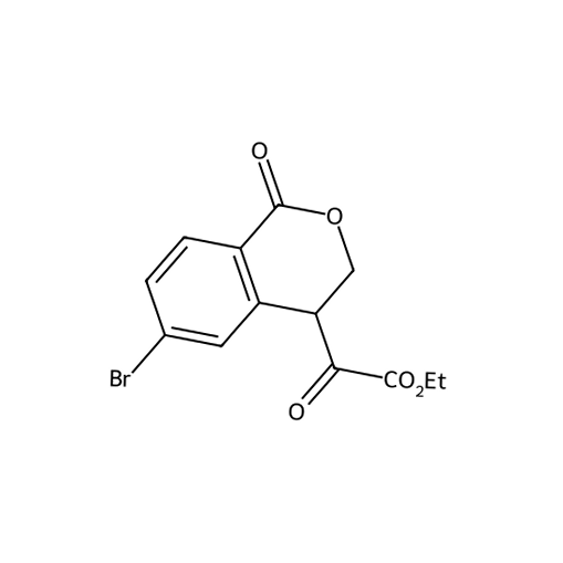 CCOC(=O)C(=O)C1COC(=O)c2ccc(Br)cc21